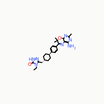 CCn1c(C[C@H]2CC[C@H](c3ccc(C4=Nc5c(N)nc(C)nc5OC4(C)C)cc3)CC2)n[nH]c1=O